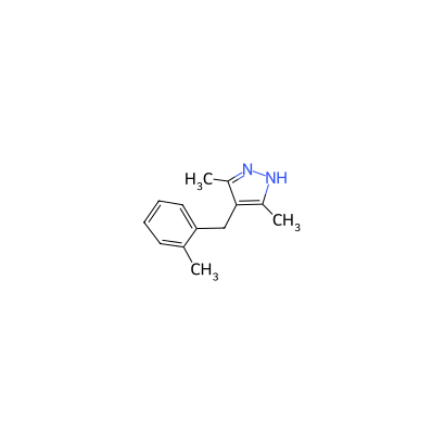 Cc1ccccc1Cc1c(C)n[nH]c1C